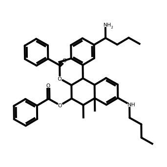 CCCCNC1=CC2(C)C(C)C(OC(=O)c3ccccc3)C(OC(=O)c3ccccc3)C(c3cc(C(N)CCC)ccc3C)C2C=C1